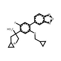 CC(C)CC(CC1CC1)(C(=O)O)c1cc(OCC2CC2)c(-c2ccc3nonc3c2)cc1F